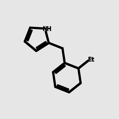 CCC1CC=CC=C1Cc1ccc[nH]1